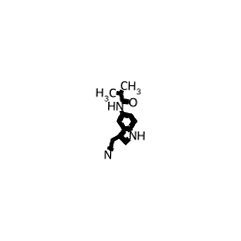 CC(C)C(=O)Nc1ccc2[nH]cc(CC#N)c2c1